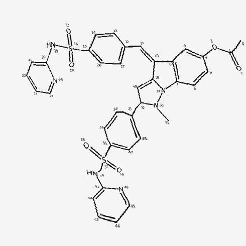 CC(=O)Oc1ccc2c(c1)/c(=C/c1ccc(S(=O)(=O)Nc3ccccn3)cc1)c1n2N(C)C(c2ccc(S(=O)(=O)Nc3ccccn3)cc2)C=1